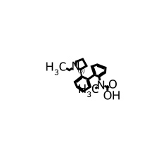 CCN1CCC[C@H]1c1ccccc1-c1ccccc1N(C)C(=O)O